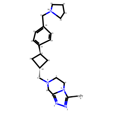 CCCc1nnc2n1CCN(C[C@H]1C[C@H](c3ccc(CN4CCCC4)cc3)C1)C2